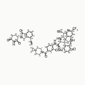 COc1cc(C(=O)N2CCC3(CC2)C[C@@H]3C#Cc2cccc3c2CN([C@H]2CCC(=O)NC2=O)C3=O)ccc1NC(=O)C1NC(CC(C)(C)C)C2(CNc3cc(C(F)(F)F)ncc32)C1c1cccc(Cl)c1F